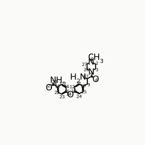 CN1CCN(C(=O)C(N)Cc2ccc(Oc3ccc(C(N)=O)cc3)cc2)CC1